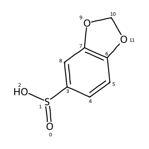 O=S(O)c1ccc2c(c1)OCO2